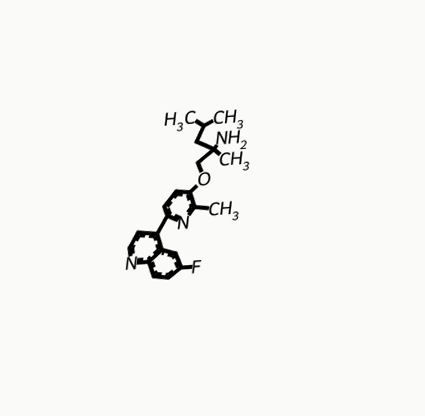 Cc1nc(-c2ccnc3ccc(F)cc23)ccc1OCC(C)(N)CC(C)C